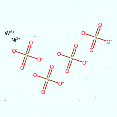 O=S(=O)([O-])[O-].O=S(=O)([O-])[O-].O=S(=O)([O-])[O-].O=S(=O)([O-])[O-].[Ni+2].[W+6]